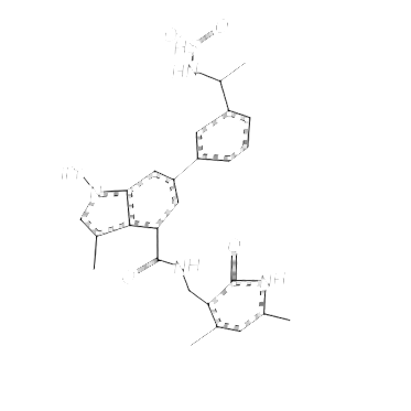 Cc1cc(C)c(CNC(=O)c2cc(-c3cccc(C(C)N[SH](=O)=O)c3)cc3c2c(C)cn3C(C)C)c(=O)[nH]1